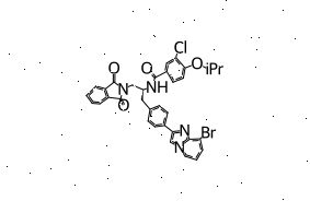 CC(C)Oc1ccc(C(=O)N[C@@H](Cc2ccc(-c3cn4cccc(Br)c4n3)cc2)CN2C(=O)c3ccccc3C2=O)cc1Cl